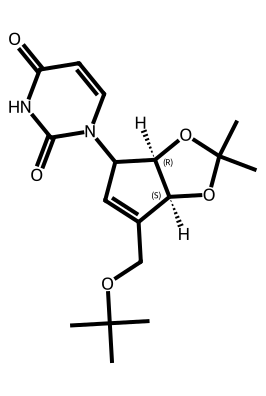 CC(C)(C)OCC1=CC(n2ccc(=O)[nH]c2=O)[C@H]2OC(C)(C)O[C@@H]12